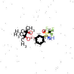 CC1(C)OB(c2cccc(S(=N)(=O)C(F)(F)F)c2)OC1(C)C